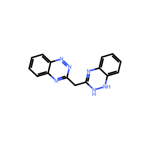 c1ccc2c(c1)N=C(Cc1nnc3ccccc3n1)NN2